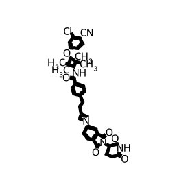 CC1(C)[C@H](NC(=O)c2ccc(CCC3CN(c4ccc5c(c4)C(=O)N(C4CCC(=O)NC4=O)C5=O)C3)cc2)C(C)(C)[C@H]1Oc1ccc(C#N)c(Cl)c1